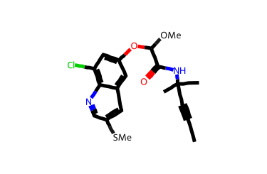 CC#CC(C)(C)NC(=O)C(OC)Oc1cc(Cl)c2ncc(SC)cc2c1